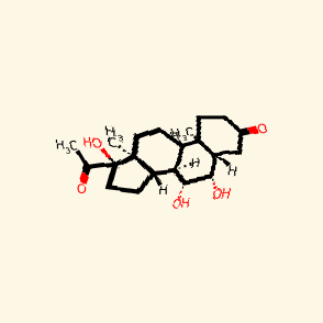 CC(=O)[C@@]1(O)CC[C@H]2[C@@H]3[C@@H](O)[C@@H](O)[C@H]4CC(=O)CC[C@]4(C)[C@H]3CC[C@@]21C